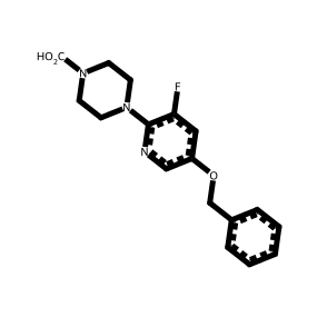 O=C(O)N1CCN(c2ncc(OCc3ccccc3)cc2F)CC1